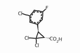 O=C(O)[C@H]1[C@H](c2cc(F)cc(Cl)c2)C1(Cl)Cl